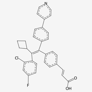 O=C(O)C=Cc1ccc(C(=C(c2ccc(F)cc2Cl)C2CCC2)c2ccc(-c3ccncc3)cc2)cc1